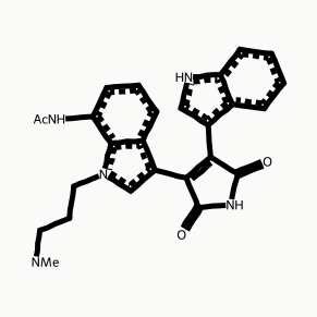 CNCCCn1cc(C2=C(c3c[nH]c4ccccc34)C(=O)NC2=O)c2cccc(NC(C)=O)c21